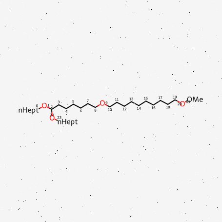 CCCCCCCOC(CCCCCCOCCCCCCCCCCOOC)OCCCCCCC